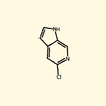 Clc1cc2[c]c[nH]c2cn1